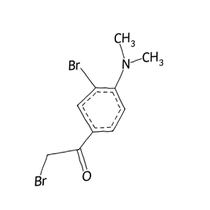 CN(C)c1ccc(C(=O)CBr)cc1Br